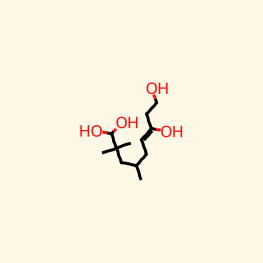 CC(CC=C(O)CCO)CC(C)(C)C(O)O